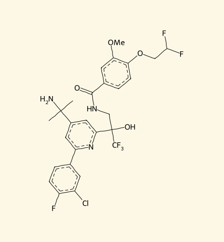 COc1cc(C(=O)NCC(O)(c2cc(C(C)(C)N)cc(-c3ccc(F)c(Cl)c3)n2)C(F)(F)F)ccc1OCC(F)F